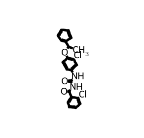 CC(Oc1ccc(NC(=O)NC(=O)c2ccccc2Cl)cc1Cl)c1ccccc1